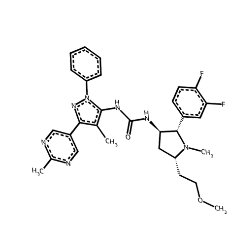 COCC[C@@H]1C[C@@H](NC(=O)Nc2c(C)c(-c3cnc(C)nc3)nn2-c2ccccc2)[C@H](c2ccc(F)c(F)c2)N1C